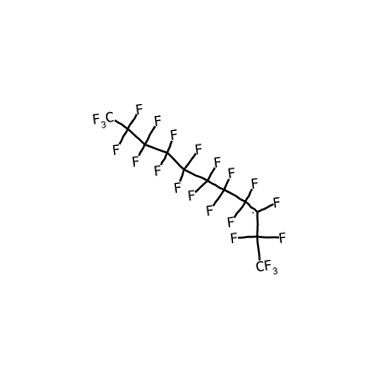 F[C](C(F)(F)C(F)(F)F)C(F)(F)C(F)(F)C(F)(F)C(F)(F)C(F)(F)C(F)(F)C(F)(F)C(F)(F)F